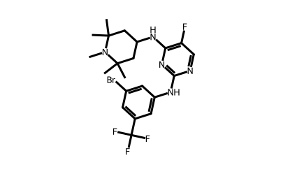 CN1C(C)(C)CC(Nc2nc(Nc3cc(Br)cc(C(F)(F)F)c3)ncc2F)CC1(C)C